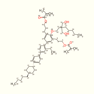 C=C(C)C(=O)OCCCc1cc(-c2ccc(-c3ccc([C@H]4CC[C@H](CCCCC)CC4)cc3)cc2CC)cc(CCCOC(=O)C(=C)C)c1OCCC(CO)(CO)CCCCC